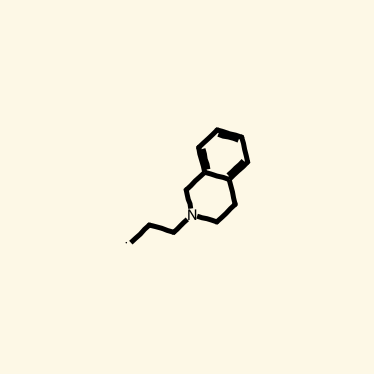 [CH2]CCN1CCc2ccccc2C1